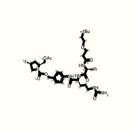 CC(=O)OC[C@@H]1C[C@H](F)CN1C(=O)OCc1ccc(NC(=O)[C@H](CCCNC(N)=O)NC(=O)[C@@H](NC(=O)CCOCCC(C)(C)C)C(C)C)cc1